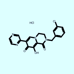 Cl.O=C1c2c(O)c(=O)c(-c3cnccn3)cn2CCN1Cc1cccc(Cl)c1